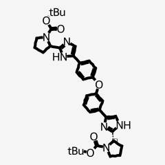 CC(C)(C)OC(=O)N1CCCC1c1ncc(-c2ccc(Oc3cccc(-c4c[nH]c([C@@H]5CCCN5C(=O)OC(C)(C)C)n4)c3)cc2)[nH]1